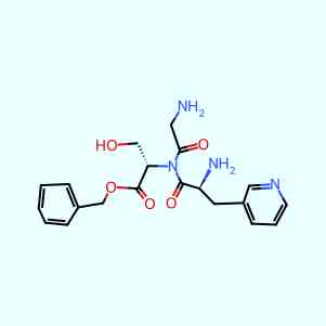 NCC(=O)N(C(=O)[C@@H](N)Cc1cccnc1)[C@@H](CO)C(=O)OCc1ccccc1